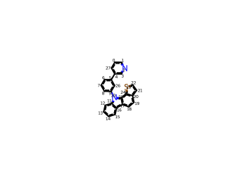 c1cncc(-c2cccc(-n3c4ccccc4c4ccc5ccsc5c43)c2)c1